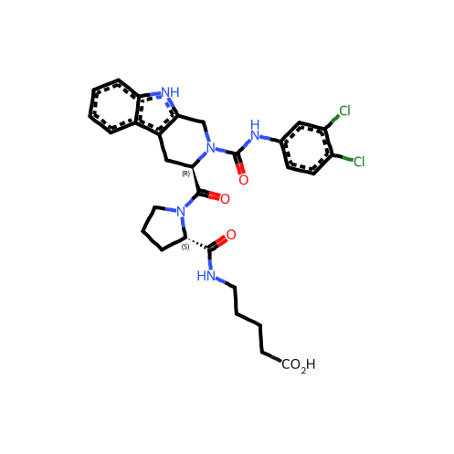 O=C(O)CCCCNC(=O)[C@@H]1CCCN1C(=O)[C@H]1Cc2c([nH]c3ccccc23)CN1C(=O)Nc1ccc(Cl)c(Cl)c1